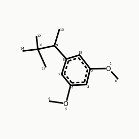 COc1cc(OC)cc(C(C)C(C)(C)C)c1